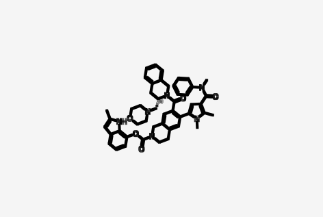 Cc1cc2cccc(OC(=O)N3CCc4cc(-c5cc(C(=O)N(C)c6ccccc6)c(C)n5C)c(C(=O)N5Cc6ccccc6C[C@H]5CN5CCOCC5)cc4C3)c2[nH]1